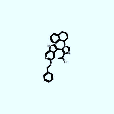 CC(O)c1ncn(C2CCCc3ccccc32)c1-c1c[nH]c2cnc(OCc3ccccc3)cc12